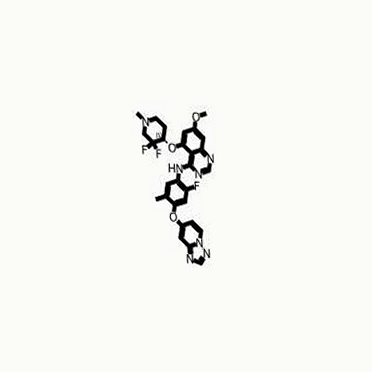 COc1cc(O[C@H]2CCN(C)CC2(F)F)c2c(Nc3cc(C)c(Oc4ccn5ncnc5c4)cc3F)ncnc2c1